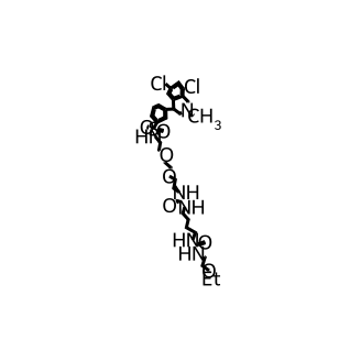 CCOCCNC(=O)NCCCCNC(=O)NCCOCCOCCNS(=O)(=O)c1cccc(C2CN(C)Cc3c(Cl)cc(Cl)cc32)c1